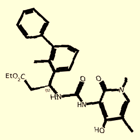 CCOC(=O)C[C@H](NC(=O)Nc1c(O)c(C)cn(C)c1=O)c1cccc(-c2ccccc2)c1C